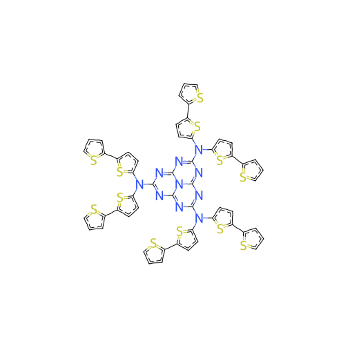 c1csc(-c2ccc(N(C3=NC4=NC(N(c5ccc(-c6cccs6)s5)c5ccc(-c6cccs6)s5)=NC5=NC(N(c6ccc(-c7cccs7)s6)c6ccc(-c7cccs7)s6)=NC(=N3)N45)c3ccc(-c4cccs4)s3)s2)c1